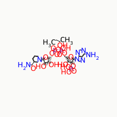 CCC(C)O.NC(=O)c1ccc[n+]([C@@H]2O[C@H](COP(=O)([O-])OP(=O)(O)OC[C@H]3O[C@@H](n4cnc5c(N)ncnc54)[C@H](OP(=O)(O)O)[C@@H]3O)[C@@H](O)[C@H]2O)c1